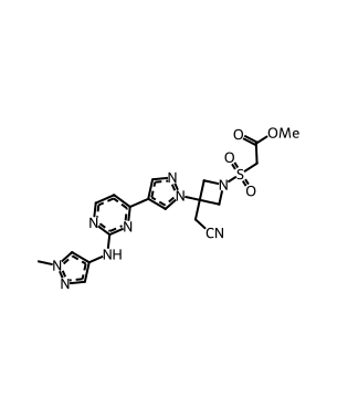 COC(=O)CS(=O)(=O)N1CC(CC#N)(n2cc(-c3ccnc(Nc4cnn(C)c4)n3)cn2)C1